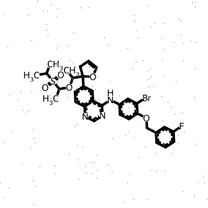 CC(OC(C)S(=O)(=O)C(C)C)C1(c2ccc3ncnc(Nc4ccc(OCc5cccc(F)c5)c(Br)c4)c3c2)CC=CO1